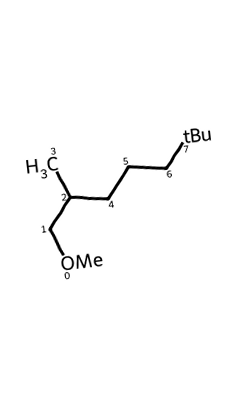 COCC(C)CCCC(C)(C)C